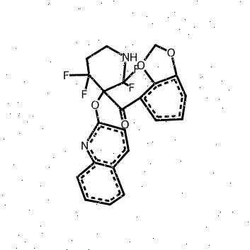 O=C(c1cccc2c1OCO2)C1(Oc2ccc3ccccc3n2)C(F)(F)CCNC1(F)F